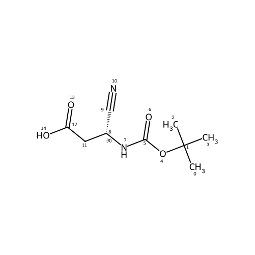 CC(C)(C)OC(=O)N[C@@H](C#N)CC(=O)O